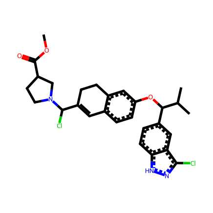 COC(=O)C1CCN(C(Cl)C2=Cc3ccc(OC(c4ccc5[nH]nc(Cl)c5c4)C(C)C)cc3CC2)C1